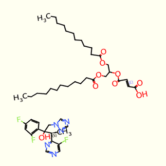 CCCCCCCCCCCC(=O)OCC(COC(=O)CCCCCCCCCCC)OC(=O)/C=C/C(=O)O.C[C@@H](c1ncncc1F)C(O)(Cn1cncn1)c1ccc(F)cc1F